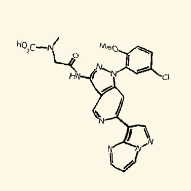 COc1ccc(Cl)cc1-n1nc(NC(=O)CN(C)C(=O)O)c2cnc(-c3cnn4cccnc34)cc21